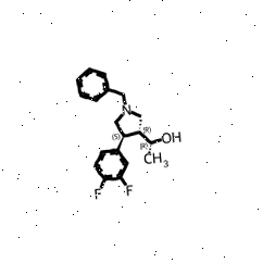 C[C@@H](O)[C@H]1CN(Cc2ccccc2)C[C@@H]1c1ccc(F)c(F)c1